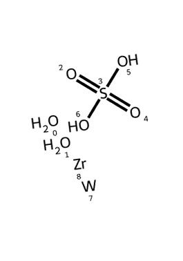 O.O.O=S(=O)(O)O.[W].[Zr]